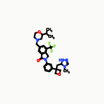 CC(C)C1CN(Cc2cc3c(c(C(F)(F)F)c2)CN(c2cccc(C4(CC5NN=CN5C)COC4)c2)C3=O)CCO1